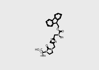 CC[C@H](C)[C@@H](C(=O)O)N1CCN(Cc2csc(CN(C(=O)OCC3c4ccccc4-c4ccccc43)C(C)C)n2)C1=O